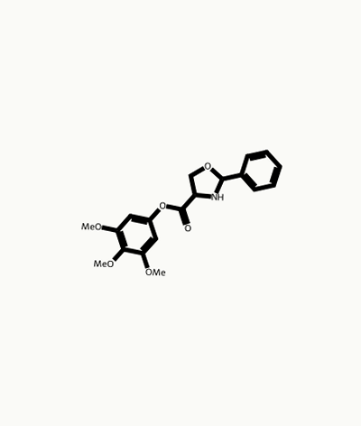 COc1cc(OC(=O)C2COC(c3ccccc3)N2)cc(OC)c1OC